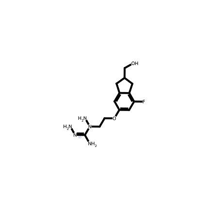 N/N=C(/N)N(N)CCOc1cc(F)c2c(c1)CC(CO)C2